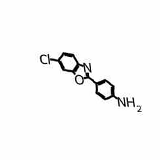 Nc1ccc(-c2nc3ccc(Cl)cc3o2)cc1